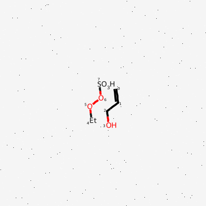 C=CCO.CCOOS(=O)(=O)O